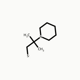 CC(C)(C[S])N1CCCCC1